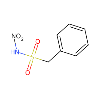 O=[N+]([O-])NS(=O)(=O)Cc1ccccc1